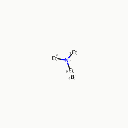 CCN(CC)CC.[B]